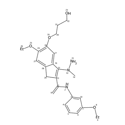 C=C(Nc1cccc(OCC)c1)C1=C(N(C)N)c2cc(OCCCO)c(OCC)cc2C1